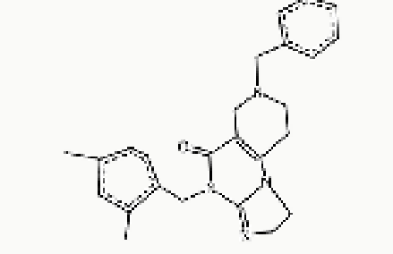 Cc1ccc(CN2C(=O)C3=C(CCN(Cc4ccccc4)C3)N3CCN=C23)c(C)c1